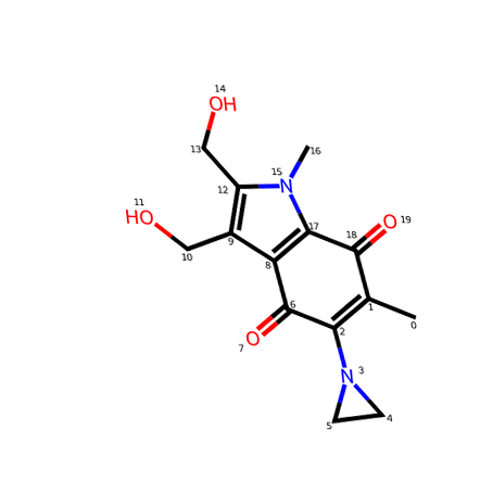 CC1=C(N2CC2)C(=O)c2c(CO)c(CO)n(C)c2C1=O